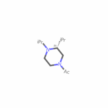 CC(=O)N1CCN(C(C)C)[C@H](C(C)C)C1